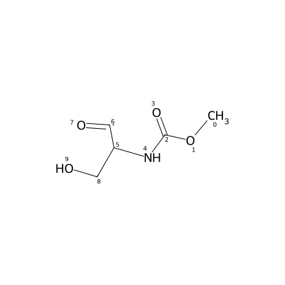 COC(=O)NC([C]=O)CO